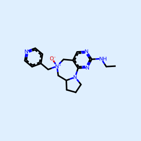 CCNc1ncc2c(n1)N1CCCC1C[N+]([O-])(Cc1ccncc1)C2